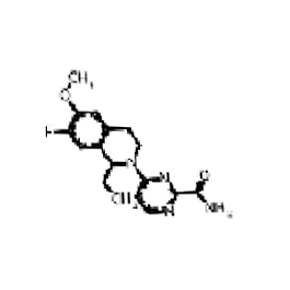 CCC1c2cc(F)c(OC)cc2CCN1c1ccnc(C(N)=O)n1